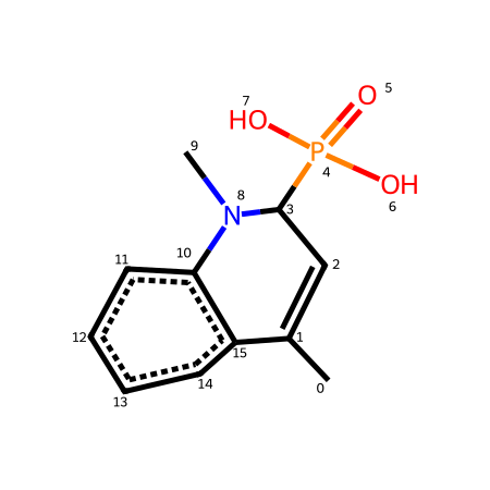 CC1=CC(P(=O)(O)O)N(C)c2ccccc21